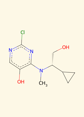 CN(c1nc(Cl)ncc1O)[C@H](CO)C1CC1